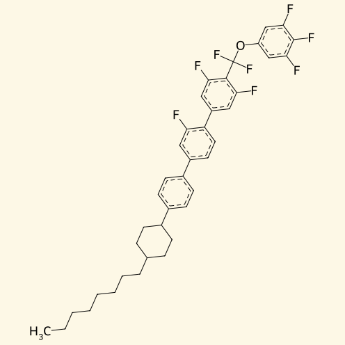 CCCCCCCCC1CCC(c2ccc(-c3ccc(-c4cc(F)c(C(F)(F)Oc5cc(F)c(F)c(F)c5)c(F)c4)c(F)c3)cc2)CC1